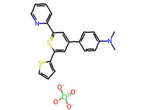 CN(C)c1ccc(-c2cc(-c3ccccn3)[s+]c(-c3cccs3)c2)cc1.[O-][Cl+3]([O-])([O-])[O-]